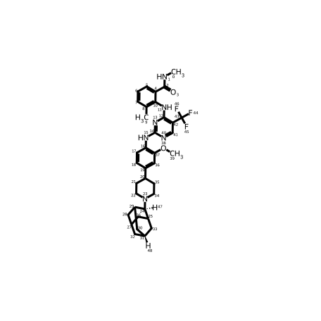 CNC(=O)c1cccc(C)c1Nc1nc(Nc2ccc(C3CCN([C@H]4C5CC6CC4C[C@@H](C6)C5)CC3)cc2OC)ncc1C(F)(F)F